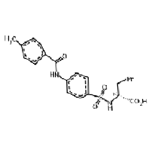 Cc1ccc(C(=O)Nc2ccc(S(=O)(=O)N[C@H](CC(C)C)C(=O)O)cc2)cc1